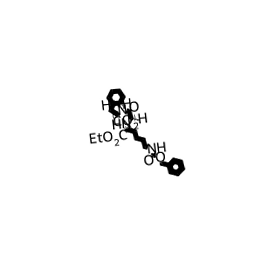 CCOC(=O)[C@H](CCCCNC(=O)OCc1ccccc1)N[C@@H](C)C(=O)N1[C@@H]2CCCC[C@@H]2C[C@H]1C(=O)O